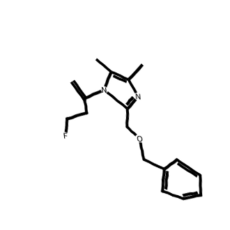 C=C(CCF)n1c(COCc2ccccc2)nc(C)c1C